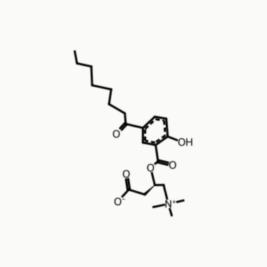 CCCCCCCC(=O)c1ccc(O)c(C(=O)O[C@H](CC(=O)[O-])C[N+](C)(C)C)c1